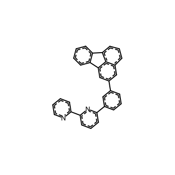 c1ccc(-c2cccc(-c3cccc(-c4cc5c6c(cccc6c4)-c4ccccc4-5)c3)n2)nc1